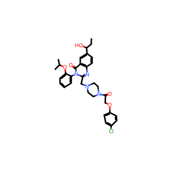 CCC(O)c1ccc2nc(CN3CCN(C(=O)COc4ccc(Cl)cc4)CC3)n(-c3ccccc3OC(C)C)c(=O)c2c1